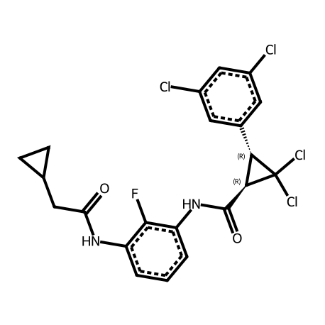 O=C(CC1CC1)Nc1cccc(NC(=O)[C@H]2[C@H](c3cc(Cl)cc(Cl)c3)C2(Cl)Cl)c1F